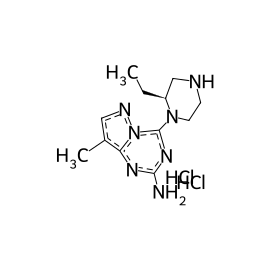 CC[C@H]1CNCCN1c1nc(N)nc2c(C)cnn12.Cl.Cl